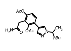 CCCCC(C)n1cc(-c2ccc(OC(C)=O)c(CC(N)=O)c2OC(C)=O)cn1